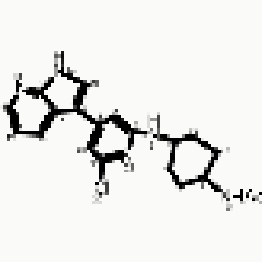 CC(=O)NC1CCC(Nc2cc(-c3c[nH]c4ncccc34)cc(Cl)n2)CC1